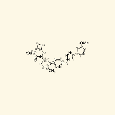 COc1cncc(-c2cn(Cc3ccc(N4C[C@H](N(CC5CCC5)C(=O)OC(C)(C)C)CC[C@@H]4C)nn3)nn2)c1